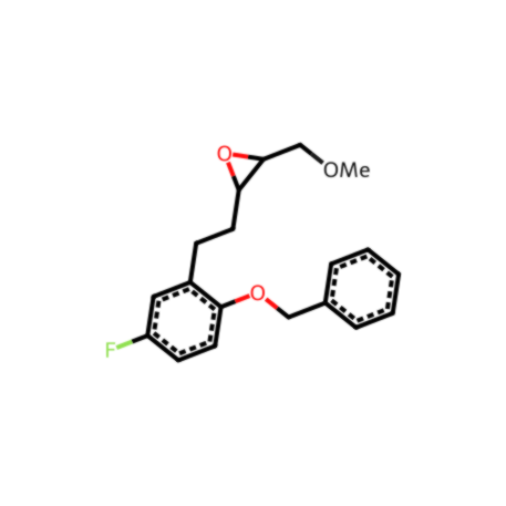 COCC1OC1CCc1cc(F)ccc1OCc1ccccc1